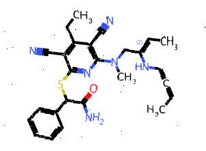 CC=C=CN/C(=C\C)CN(C)c1nc(SC(C(N)=O)c2ccccc2)c(C#N)c(CC)c1C#N